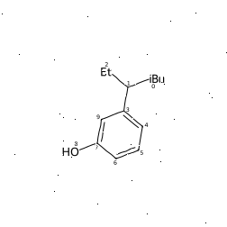 CCC(C)C(CC)c1cccc(O)c1